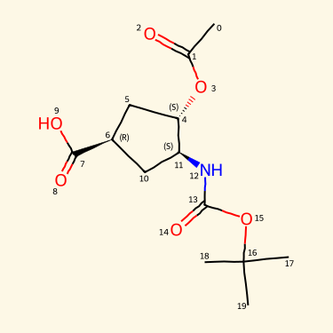 CC(=O)O[C@H]1C[C@H](C(=O)O)C[C@@H]1NC(=O)OC(C)(C)C